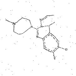 C/C=N\N1C(N2CCN(C)CC2)=Nc2cc(F)c(Cl)cc2C1C